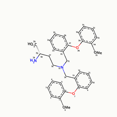 COc1ccccc1Oc1ccccc1CN(CC[C@H](N)C(=O)O)Cc1ccccc1Oc1ccccc1OC